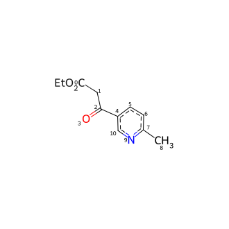 CCOC(=O)CC(=O)c1ccc(C)nc1